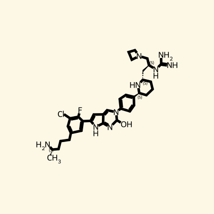 C[C@H](N)CCCc1cc(Cl)c(F)c(-c2cc3c([nH]2)=NC(O)N(c2ccc([C@@H]4CCC[C@@H](C[C@@H](CN5CCC5)NC(=N)N)N4)cc2)C=3)c1